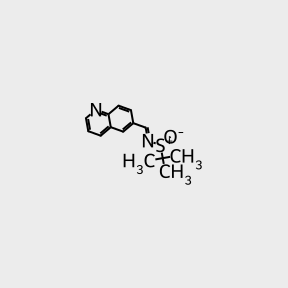 CC(C)(C)[S+]([O-])N=Cc1ccc2ncccc2c1